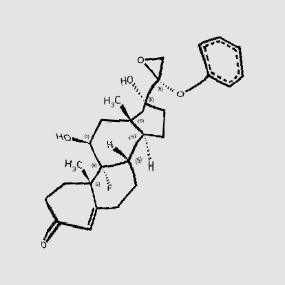 C[C@]12CCC(=O)C=C1CC[C@H]1[C@@H]3CC[C@](O)([C@]4(Oc5ccccc5)CO4)[C@@]3(C)C[C@H](O)[C@@]12F